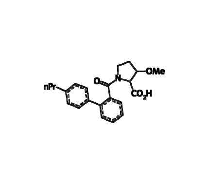 CCCc1ccc(-c2ccccc2C(=O)N2CCC(OC)C2C(=O)O)cc1